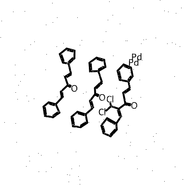 O=C(C=Cc1ccccc1)C(=Cc1ccccc1)C(Cl)Cl.O=C(C=Cc1ccccc1)C=Cc1ccccc1.O=C(C=Cc1ccccc1)C=Cc1ccccc1.[Pd].[Pd]